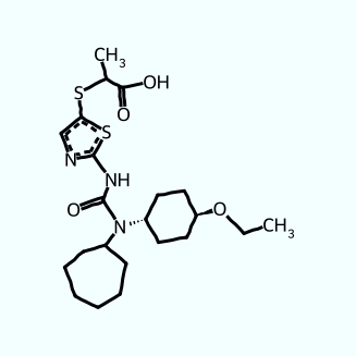 CCO[C@H]1CC[C@H](N(C(=O)Nc2ncc(SC(C)C(=O)O)s2)C2CCCCCC2)CC1